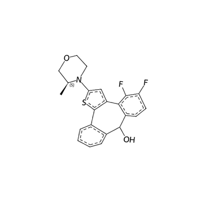 C[C@H]1COCCN1c1cc2c(s1)-c1ccccc1C(O)c1ccc(F)c(F)c1-2